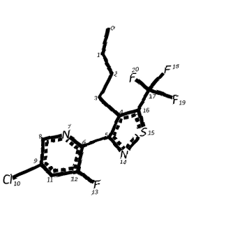 CCCCc1c(-c2ncc(Cl)cc2F)nsc1C(F)(F)F